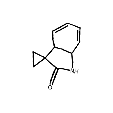 O=C1NC2C=CC=CC2C12CC2